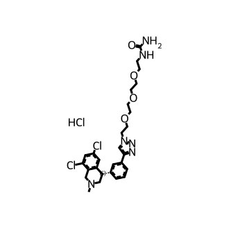 CN1Cc2c(Cl)cc(Cl)cc2[C@H](c2cccc(-c3cn(CCOCCOCCOCCNC(N)=O)nn3)c2)C1.Cl